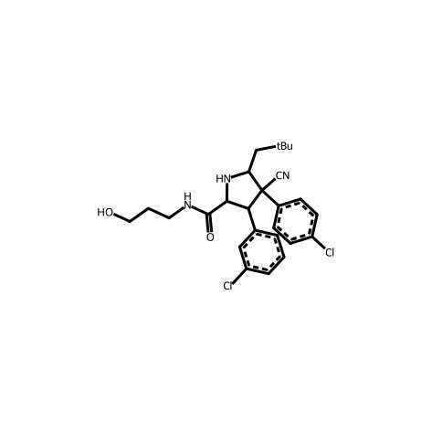 CC(C)(C)CC1NC(C(=O)NCCCO)C(c2cccc(Cl)c2)C1(C#N)c1ccc(Cl)cc1